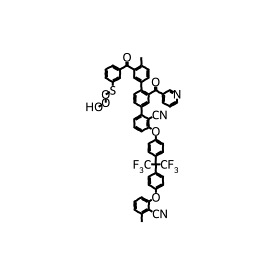 Cc1ccc(-c2ccc(-c3cccc(Oc4ccc(C(c5ccc(Oc6cccc(C)c6C#N)cc5)(C(F)(F)F)C(F)(F)F)cc4)c3C#N)cc2C(=O)c2cccnc2)cc1C(=O)c1cccc(SOOO)c1